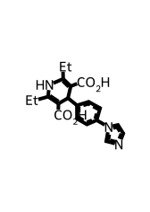 CCC1=C(C(=O)O)C(c2ccc(-n3ccnc3)cc2)C(C(=O)O)=C(CC)N1